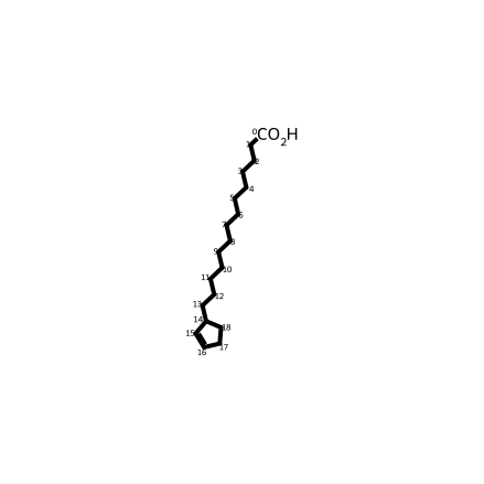 O=C(O)CCCCCCCCCCCCCC1C=CCC1